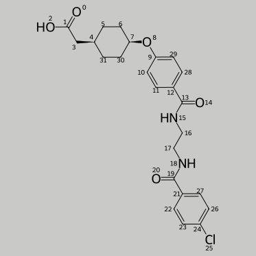 O=C(O)C[C@H]1CC[C@@H](Oc2ccc(C(=O)NCCNC(=O)c3ccc(Cl)cc3)cc2)CC1